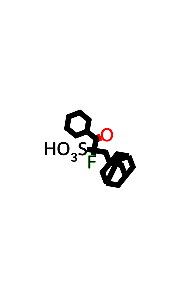 O=C(C1CCCCC1)C(F)(CC12CC3CC(CC(C3)C1)C2)S(=O)(=O)O